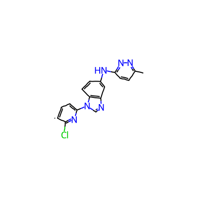 Cc1ccc(Nc2ccc3c(c2)ncn3-c2cc[c]c(Cl)n2)nn1